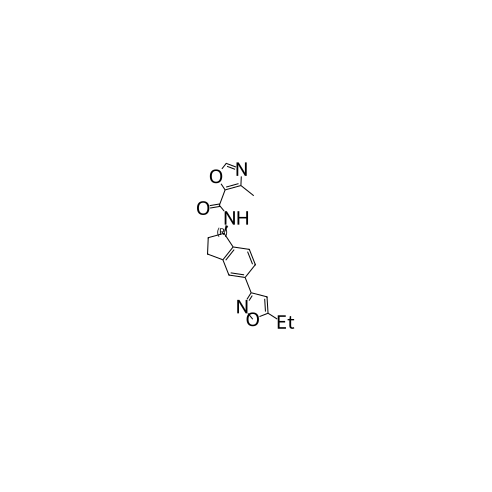 CCc1cc(-c2ccc3c(c2)CC[C@H]3NC(=O)c2ocnc2C)no1